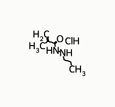 C=C(C)C(=O)NNCCC.Cl